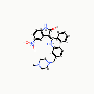 CN1CCN(Cc2cccc(NC(=C3C(=O)Nc4ccc([N+](=O)[O-])cc43)c3ccccc3)c2)CC1